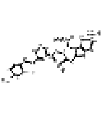 CO[C@H](C)Cn1c(Cc2ccc(-c3cccc(OCc4ccc(C)cc4F)n3)cc2F)nc2ccc(C(=O)O)cc21